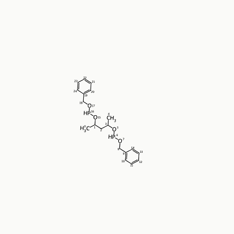 CC(CC(C)OPOCc1ccccc1)OPOCc1ccccc1